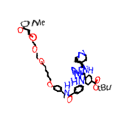 COC(=O)CCOCCOCCOCCCCCCOc1ccc(C(C)NC(=O)c2cccc(NC3(c4nnc(-c5ccncc5)[nH]4)CCC(C(=O)OC(C)(C)C)CC3)c2)cc1